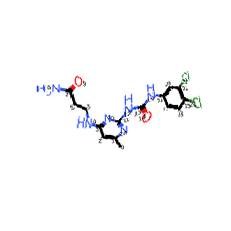 Cc1cc(NCCC(N)=O)nc(NC(=O)Nc2ccc(Cl)c(Cl)c2)n1